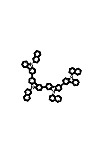 c1ccc2cc(-n3c4ccccc4c4cc(-c5ccc6c(c5)c5cc(-c7ccc8c9cc(-c%10ccc%11c(c%10)c%10ccccc%10n%11-c%10cccc%11ccccc%10%11)ccc9n(-c9cccc%10ccccc9%10)c8c7)ccc5n6-c5ccc6ccccc6c5)ccc43)ccc2c1